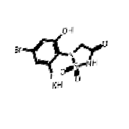 O=C1CN(c2c(O)cc(Br)cc2F)S(=O)(=O)N1.[KH]